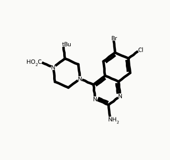 CC(C)(C)C1CN(c2nc(N)nc3cc(Cl)c(Br)cc23)CCN1C(=O)O